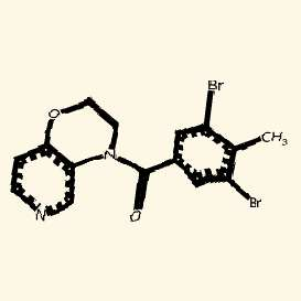 Cc1c(Br)cc(C(=O)N2CCOc3ccncc32)cc1Br